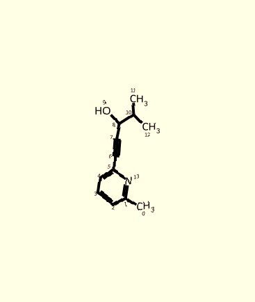 Cc1cccc(C#CC(O)C(C)C)n1